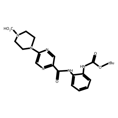 CC(C)(C)OC(=O)Nc1ccccc1NC(=O)c1cnc(N2CCN(C(=O)O)CC2)cn1